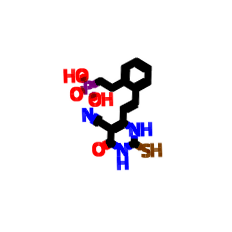 N#CC1=C(/C=C/c2ccccc2CCP(=O)(O)O)NC(S)NC1=O